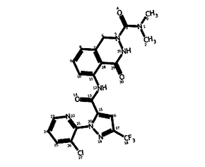 CN(C)C(=O)N1Cc2cccc(NC(=O)c3cc(C(F)(F)F)nn3-c3ncccc3Cl)c2C(=O)N1